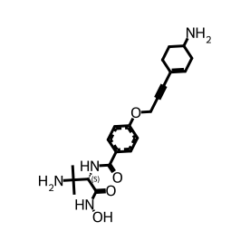 CC(C)(N)[C@H](NC(=O)c1ccc(OCC#CC2=CCC(N)CC2)cc1)C(=O)NO